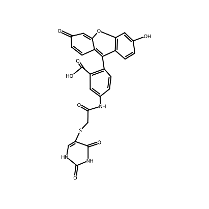 O=C(CSc1c[nH]c(=O)[nH]c1=O)Nc1ccc(-c2c3ccc(=O)cc-3oc3cc(O)ccc23)c(C(=O)O)c1